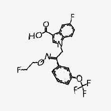 O=C(O)c1cn(CC(=NOCCF)c2cccc(OC(F)(F)F)c2)c2ccc(F)cc12